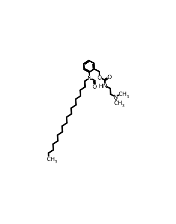 CCCCCCCCCCCCCCCCCCN(C=O)c1ccccc1COC(=O)NCCN(C)C